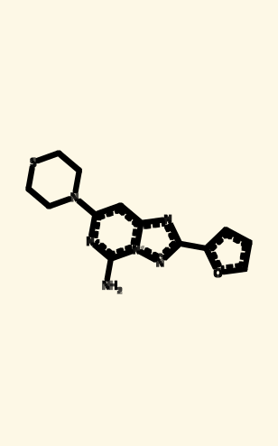 Nc1nc(N2CCSCC2)cc2nc(-c3ccco3)nn12